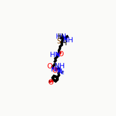 C=C1N[C@@H]2CSC(CCCCC(=O)NCCCC[C@H](NC(=O)CN(C)CCc3ccc(OC)cc3)C(N)=O)[C@@H]2N1